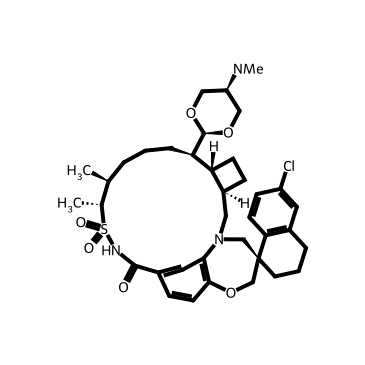 CN[C@H]1CO[C@@H]([C@@H]2CCC[C@H](C)[C@@H](C)S(=O)(=O)NC(=O)c3ccc4c(c3)N(C[C@@H]3CC[C@H]32)C[C@@]2(CCCc3cc(Cl)ccc32)CO4)OC1